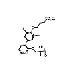 CCOC(=O)CCCOc1c(F)cc(-c2cccnc2OCC2(C)COC2)cc1F